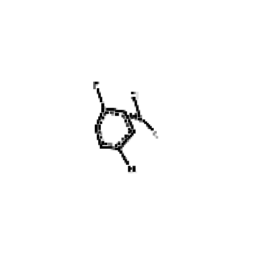 CCc1ccc(F)cc1.[Cl][Mg][Cl]